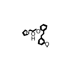 COc1cccc(CCc2ccccc2OCC(O)CN2CC=CC2)c1